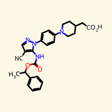 CC(OC(=O)Nc1c(C#N)cnn1-c1ccc(N2CCC(CC(=O)O)CC2)cc1)c1ccccc1